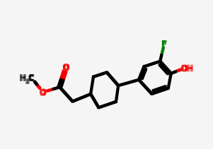 COC(=O)CC1CCC(c2ccc(O)c(F)c2)CC1